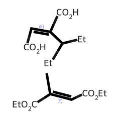 CCC(CC)/C(=C\C(=O)O)C(=O)O.CCOC(=O)/C=C(\C)C(=O)OCC